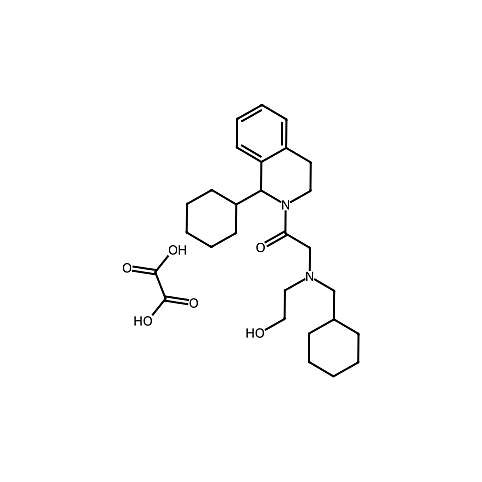 O=C(CN(CCO)CC1CCCCC1)N1CCc2ccccc2C1C1CCCCC1.O=C(O)C(=O)O